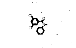 CN(C(=O)c1cc(Cl)cc(Cl)c1)C1CCCCC1